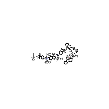 CC(=O)NCCS(=O)(=O)c1ccc(/N=N/c2c(S(=O)(=O)O)cc3cc(S(=O)(=O)O)c(/N=N/c4ccc(S(=O)(=O)CCNC(=O)C(Cc5ccccc5)NC(=O)C5CCCN5C(=O)C(C)NC(=O)C(C)NC(=O)OCC5c6ccccc6-c6ccccc65)cc4)c(N)c3c2O)cc1